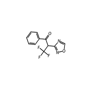 O=C(c1ccccc1)C(c1ncon1)C(F)(F)F